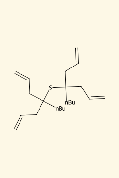 C=CCC(CC=C)(CCCC)SC(CC=C)(CC=C)CCCC